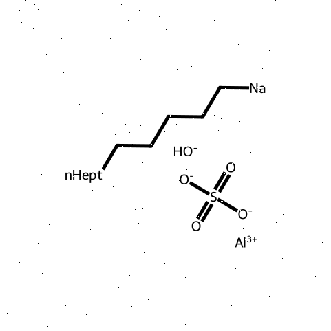 CCCCCCCCCCC[CH2][Na].O=S(=O)([O-])[O-].[Al+3].[OH-]